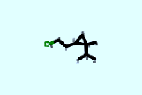 CC(C)C1(C)CC1CCCl